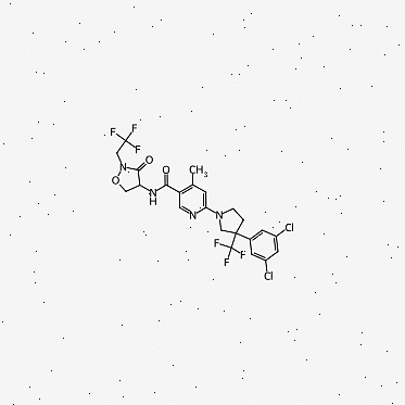 Cc1cc(N2CCC(c3cc(Cl)cc(Cl)c3)(C(F)(F)F)C2)ncc1C(=O)NC1CON(CC(F)(F)F)C1=O